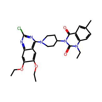 CCOc1cc2nc(Cl)nc(N3CCC(n4c(=O)c5cc(C)ccc5n(CC)c4=O)CC3)c2cc1OCC